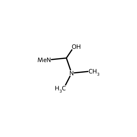 CNC(O)N(C)C